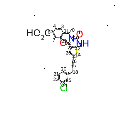 CC(c1ccc(C(=O)O)cc1)n1c(=O)[nH]c2sc(C#CCc3cccc(Cl)c3)cc2c1=O